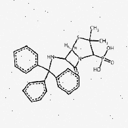 CC1(C)S[C@@H]2C(NC(c3ccccc3)(c3ccccc3)c3ccccc3)C(=O)N2C1P(=O)(O)O